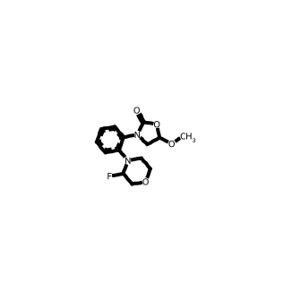 COC1CN(c2ccccc2N2CCOCC2F)C(=O)O1